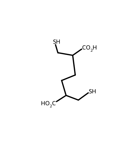 O=C(O)C(CS)CCC(CS)C(=O)O